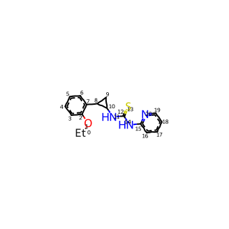 CCOc1ccccc1C1CC1NC(=S)Nc1ccccn1